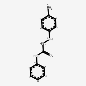 Bc1ccc(BNC(=O)Bc2ccccc2)cc1